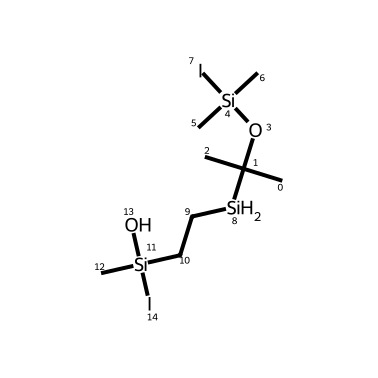 CC(C)(O[Si](C)(C)I)[SiH2]CC[Si](C)(O)I